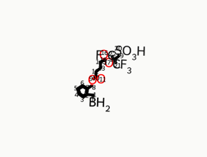 BCc1ccccc1COC(=O)CCCC(=O)OC(CS(=O)(=O)O)(C(F)(F)F)C(F)(F)F